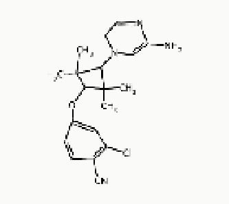 CC1(C)C(Oc2ccc(C#N)c(Cl)c2)C(C)(C)C1N1C=C(N)N=CC1